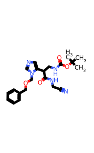 CC(C)(C)OC(=O)NCC(C(=O)NCC#N)c1cncn1COCc1ccccc1